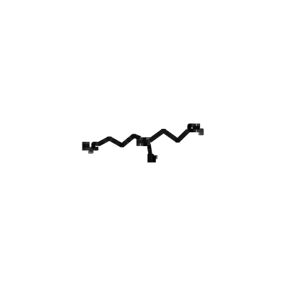 CCCC[SiH](Br)CCC